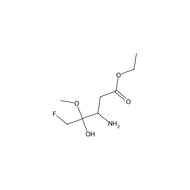 CCOC(=O)CC(N)C(O)(CF)OC